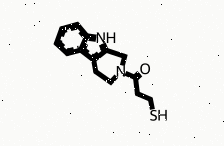 O=C(CCS)N1CCc2c([nH]c3ccccc23)C1